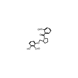 O=Cc1ccccc1C(=O)N1CCCC1COc1cccc(O)c1C=O